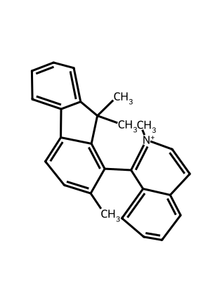 Cc1ccc2c(c1-c1c3ccccc3cc[n+]1C)C(C)(C)c1ccccc1-2